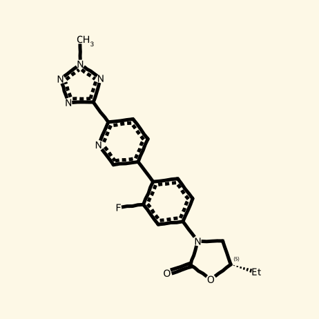 CC[C@H]1CN(c2ccc(-c3ccc(-c4nnn(C)n4)nc3)c(F)c2)C(=O)O1